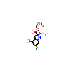 CCOC(=O)C1(N)C=c2c(Cl)cc(Cl)cc2=N1